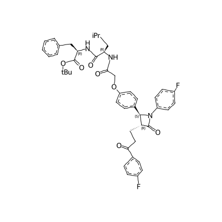 CC(C)C[C@@H](NC(=O)COc1ccc([C@@H]2[C@@H](CCC(=O)c3ccc(F)cc3)C(=O)N2c2ccc(F)cc2)cc1)C(=O)N[C@H](Cc1ccccc1)C(=O)OC(C)(C)C